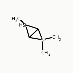 C[SiH]1C2C1[Si]2(C)C